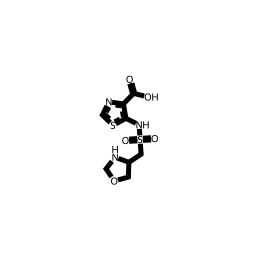 O=C(O)c1ncsc1NS(=O)(=O)CC1COCN1